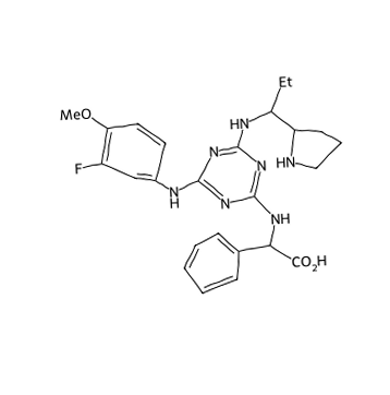 CCC(Nc1nc(Nc2ccc(OC)c(F)c2)nc(NC(C(=O)O)c2ccccc2)n1)C1CCCN1